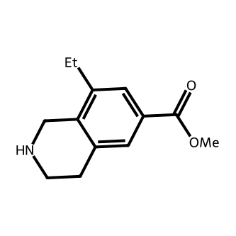 CCc1cc(C(=O)OC)cc2c1CNCC2